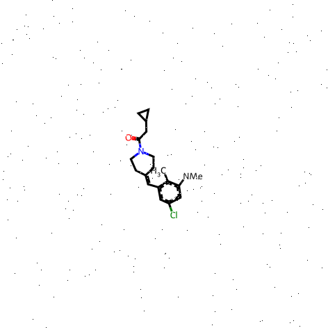 CNc1cc(Cl)cc(C=C2CCN(C(=O)CC3CC3)CC2)c1C